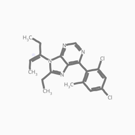 C/C=C(/CC)n1c(CC)nc2c(-c3c(C)cc(Cl)cc3Cl)ncnc21